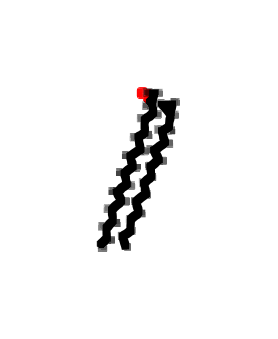 CCCCCCCCCCCCCCCC1CC1.CCCCCCCCCCCCCCCCC1CO1